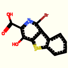 O=C(O)c1nc(Br)c2c(sc3ccccc32)c1O